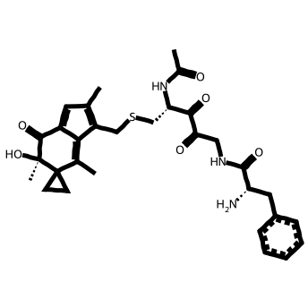 CC(=O)N[C@@H](CSCC1=C(C)C=C2C(=O)[C@](C)(O)C3(CC3)C(C)=C21)C(=O)C(=O)CNC(=O)[C@@H](N)Cc1ccccc1